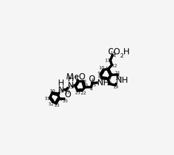 COc1cc(CC(=O)Nc2ccc(CCCC(=O)O)c3c2CCNC3)ccc1NC(=O)Nc1ccccc1C